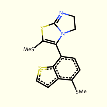 CSC1=C(c2ccc(SC)c3ccsc23)N2CCN=C2S1